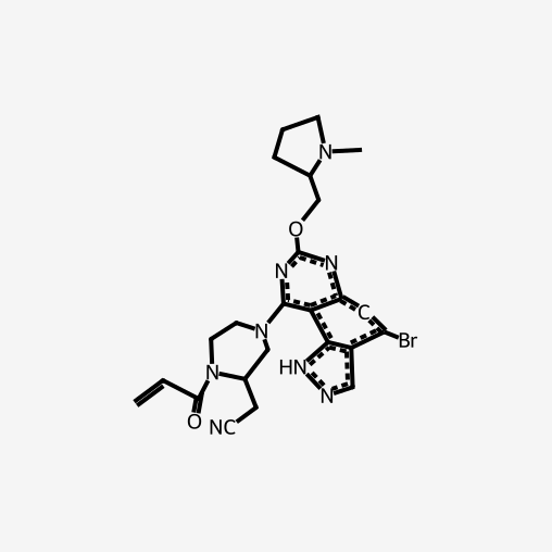 C=CC(=O)N1CCN(c2nc(OCC3CCCN3C)nc3cc(Br)c4cn[nH]c4c23)CC1CC#N